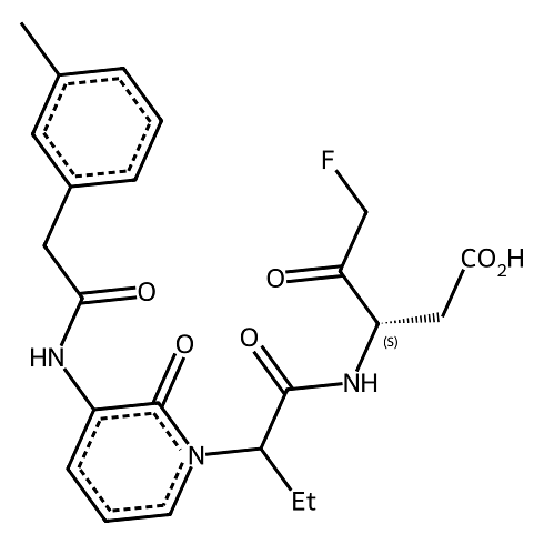 CCC(C(=O)N[C@@H](CC(=O)O)C(=O)CF)n1cccc(NC(=O)Cc2cccc(C)c2)c1=O